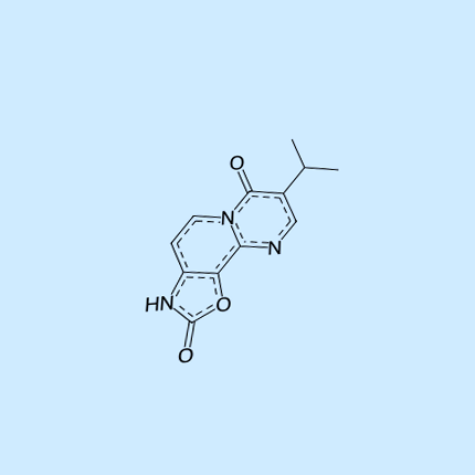 CC(C)c1cnc2c3oc(=O)[nH]c3ccn2c1=O